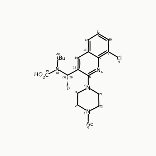 CC(=O)N1CCN(c2nc3c(Cl)cccc3cc2[C@H](C)N(C(=O)O)C(C)(C)C)CC1